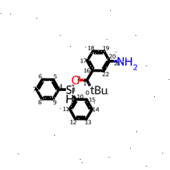 CC(C)(C)C(O[SiH](c1ccccc1)c1ccccc1)c1cccc(N)c1